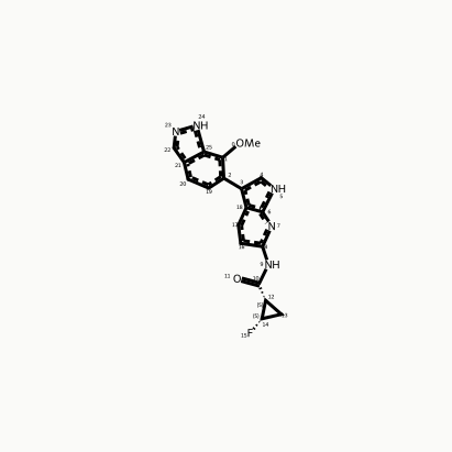 COc1c(-c2c[nH]c3nc(NC(=O)[C@@H]4C[C@@H]4F)ccc23)ccc2cn[nH]c12